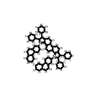 c1ccc(-c2c(-c3ccccc3)n(-c3ccc4c(ccc5ccccc54)c3)c3c2ccc2c4ccc5c(-c6ccccc6)c(-c6ccccc6)n(-c6ccc7c(ccc8ccccc87)c6)c5c4ccc23)cc1